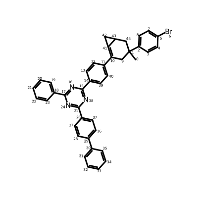 CC1(c2ccc(Br)cc2)CC(c2ccc(-c3nc(-c4ccccc4)nc(-c4ccc(-c5ccccc5)cc4)n3)cc2)=C2CC2C1